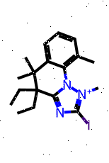 CCC1(CC)c2nc(I)[n+](C)n2-c2c(C)cccc2C1(C)C